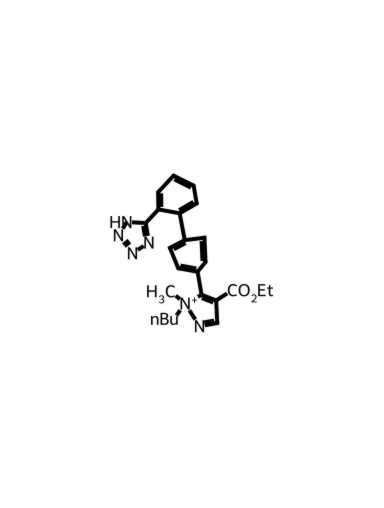 CCCC[N+]1(C)N=CC(C(=O)OCC)=C1c1ccc(-c2ccccc2-c2nnn[nH]2)cc1